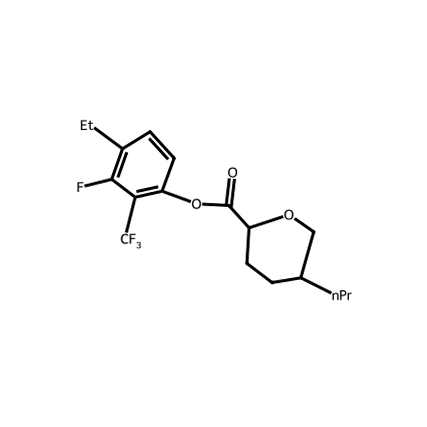 CCCC1CCC(C(=O)Oc2ccc(CC)c(F)c2C(F)(F)F)OC1